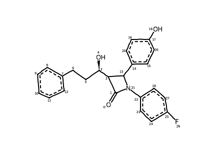 O=C1C([C@H](O)CCc2ccccc2)C(c2ccc(O)cc2)N1c1ccc(F)cc1